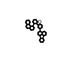 c1ccc2c(c1)-c1cccc3c(-c4ccc5oc6cccc(-c7cccc8ccc9ccccc9c78)c6c5c4)ccc-2c13